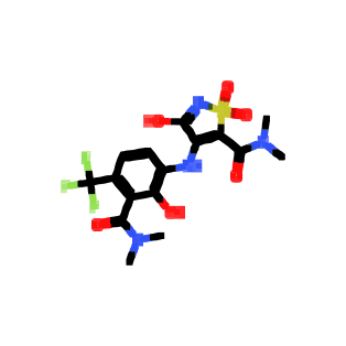 CN(C)C(=O)C1=C(Nc2ccc(C(F)(F)F)c(C(=O)N(C)C)c2O)C(O)=NS1(=O)=O